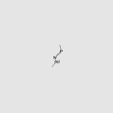 CP=NPC